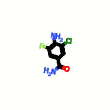 NC(=O)c1cc(F)c(N)c(Cl)c1